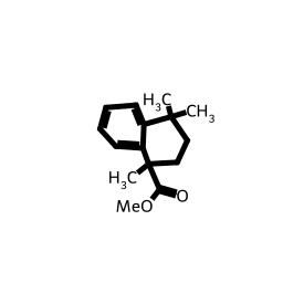 COC(=O)C1(C)CCC(C)(C)c2ccccc21